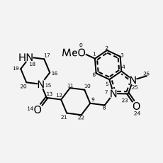 COc1ccc2c(c1)n(CC1CCC(C(=O)N3CCNCC3)CC1)c(=O)n2C